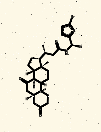 CC[C@@H](NC(=O)C[C@@H](C)[C@H]1CC[C@H]2[C@@H]3C(=O)C[C@@H]4CC(=O)CC[C@]4(C)[C@H]3CC[C@]12C)c1ccc(Br)s1